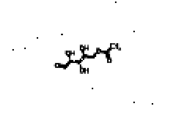 CC(=O)OC[C@H](O)[C@H](O)[C@@H](O)C=O